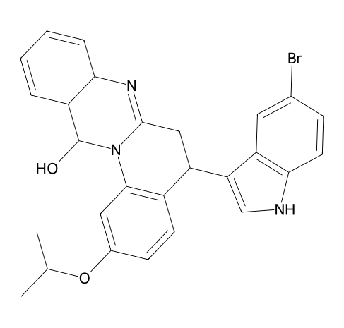 CC(C)Oc1ccc2c(c1)N1C(=NC3C=CC=CC3C1O)CC2c1c[nH]c2ccc(Br)cc12